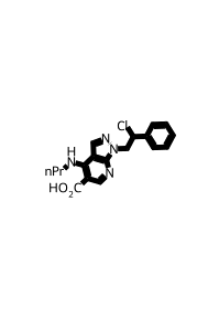 CCCNc1c(C(=O)O)cnc2c1cnn2CC(Cl)c1ccccc1